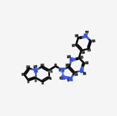 c1cc2ccc(Cn3nnc4ncc(-c5ccncc5)nc43)cn2c1